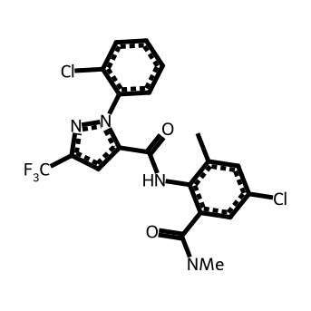 CNC(=O)c1cc(Cl)cc(C)c1NC(=O)c1cc(C(F)(F)F)nn1-c1ccccc1Cl